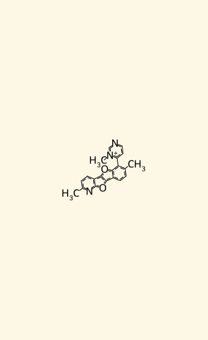 Cc1ccc2c(n1)oc1c3ccc(C)c(-c4ccnc[n+]4C)c3oc21